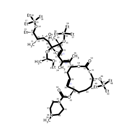 CCO[C@@H](C)O[C@](C)([C@H]1O[C@H]1[C@H](C)[C@H](CC)O[Si](CC)(CC)CC)[C@@](C)(/C=C/C(C)=C(\C)[C@H]1C/C=C/[C@H](OC(=O)N2CCN(C)CC2)CCC[C@@H](O[Si](CC)(CC)CC)CC(=O)O1)O[Si](CC)(CC)CC